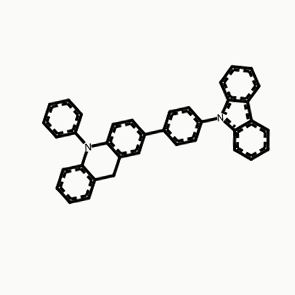 c1ccc(N2c3ccccc3Cc3cc(-c4ccc(-n5c6ccccc6c6ccccc65)cc4)ccc32)cc1